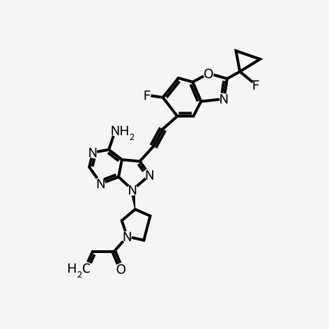 C=CC(=O)N1CC[C@H](n2nc(C#Cc3cc4nc(C5(F)CC5)oc4cc3F)c3c(N)ncnc32)C1